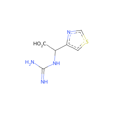 N=C(N)NC(C(=O)O)c1cscn1